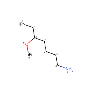 CC(C)CC(CCCCN)OC(C)C